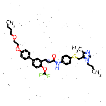 CCCCOCCOc1ccc(-c2ccc(OC(F)F)c(/C=C/C(=O)Nc3ccc(SCc4c(C)ncn4CCC)cc3)c2)cc1